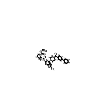 CCc1cc2c(N3CCN(C(=O)c4ccc(-c5ccccc5)cc4)CC3)nc(NC(=O)[C@H]3CCCN3C(=O)OC(C)(C)C)nc2s1